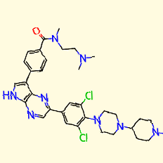 CN(C)CCN(C)C(=O)c1ccc(-c2c[nH]c3ncc(-c4cc(Cl)c(N5CCN(C6CCN(C)CC6)CC5)c(Cl)c4)nc23)cc1